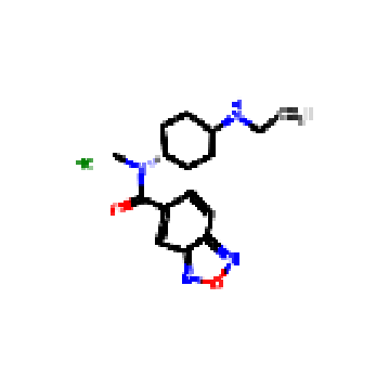 CN(C(=O)c1ccc2nonc2c1)[C@H]1CC[C@H](NCC(=O)O)CC1.Cl